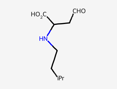 CC(C)CCNC(CC=O)C(=O)O